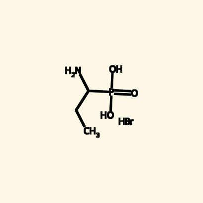 Br.CCC(N)P(=O)(O)O